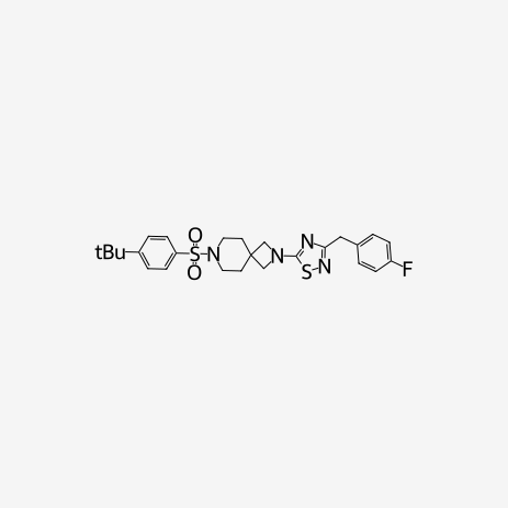 CC(C)(C)c1ccc(S(=O)(=O)N2CCC3(CC2)CN(c2nc(Cc4ccc(F)cc4)ns2)C3)cc1